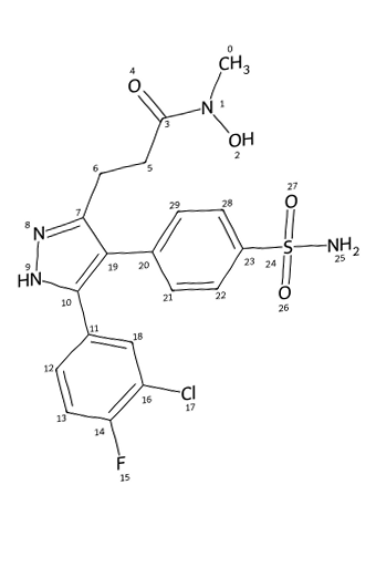 CN(O)C(=O)CCc1n[nH]c(-c2ccc(F)c(Cl)c2)c1-c1ccc(S(N)(=O)=O)cc1